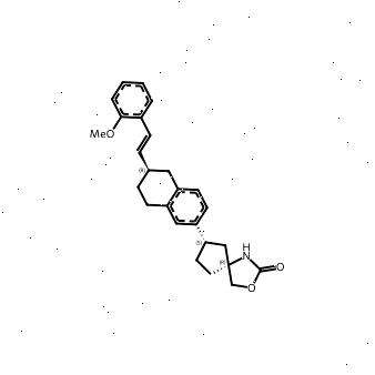 COc1ccccc1C=C[C@@H]1CCc2cc([C@H]3CC[C@]4(COC(=O)N4)C3)ccc2C1